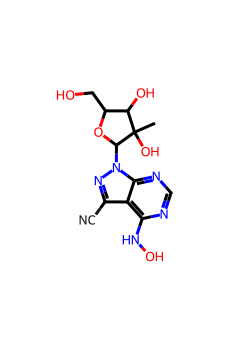 CC1(O)C(O)C(CO)OC1n1nc(C#N)c2c(NO)ncnc21